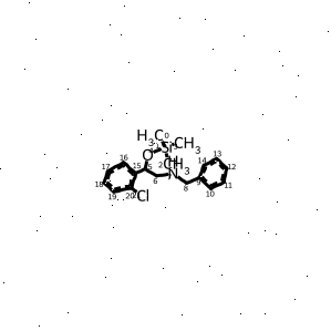 C[Si](C)(C)OC(CNCc1ccccc1)c1ccccc1Cl